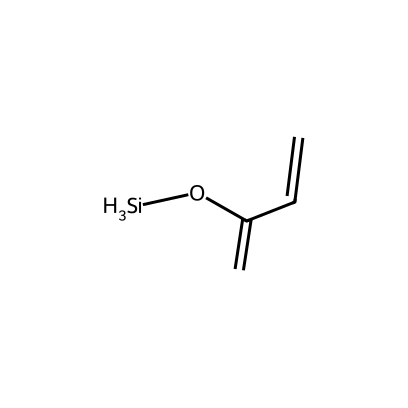 C=CC(=C)O[SiH3]